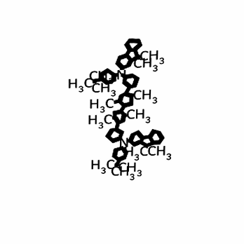 Cc1cc(-c2cc(C)c(-c3cccc(N(c4ccc(C(C)(C)C)cc4)c4ccc5c(c4)C(C)(C)c4ccccc4-5)c3)cc2C)c(C)cc1-c1cccc(N(c2ccc(C(C)(C)C)cc2)c2ccc3c(c2)C(C)(C)c2ccccc2-3)c1